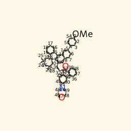 COc1ccc(-c2ccc3c4c(c5c(c3c2)-c2ccccc2C52CC(C)(C)CC(C)(C)C2)C=CC(c2ccccc2)(c2ccc(N3CCOCC3)cc2)O4)cc1